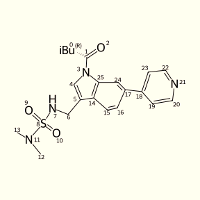 CC[C@@H](C)C(=O)n1cc(CNS(=O)(=O)N(C)C)c2ccc(-c3ccncc3)cc21